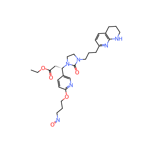 CCOC(=O)C[C@@H](c1ccc(OCCCN=O)nc1)N1CCN(CCCc2ccc3c(n2)NCCC3)C1=O